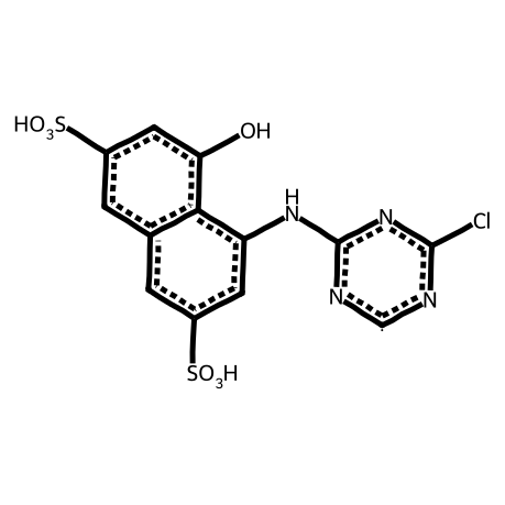 O=S(=O)(O)c1cc(O)c2c(Nc3n[c]nc(Cl)n3)cc(S(=O)(=O)O)cc2c1